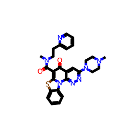 CN1CCN(c2cc3c(=O)c(C(=O)N(C)CCc4ccccn4)c4sc5ccccc5n4c3nn2)CC1